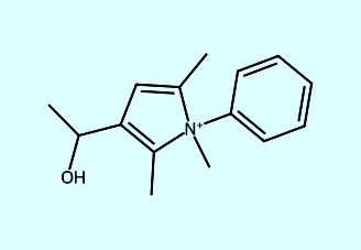 CC1=CC(C(C)O)=C(C)[N+]1(C)c1ccccc1